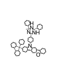 CC1(c2ccccc2)N=C(c2ccc(-n3c4cc(C5(c6ccccc6)c6ccccc6-c6ccccc65)ccc4c4cc5oc6ccccc6c5cc43)cc2)NC(c2ccccc2)N1